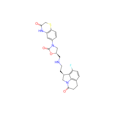 O=C1CSc2ccc(N3C[C@@H](CNCC[C@@H]4CN5C(=O)CCc6ccc(F)c4c65)OC3=O)cc2N1